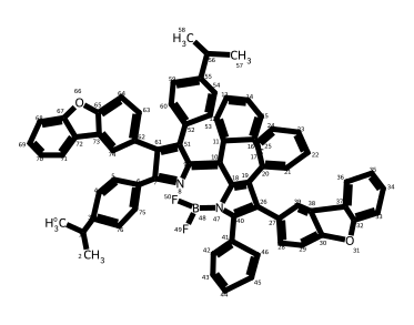 CC(C)c1ccc(C2=N/C(=C(/c3ccccc3F)c3c(-c4ccccc4)c(-c4ccc5oc6ccccc6c5c4)c(-c4ccccc4)n3B(F)F)C(c3ccc(C(C)C)cc3)=C2c2ccc3oc4ccccc4c3c2)cc1